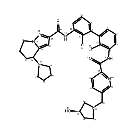 O=C(Nc1cccc(-c2cccc(NC(=O)c3cc4n(n3)CCCC4N3CCCC3)c2Cl)c1Cl)c1ccc(CN2CC[C@@H](O)C2)cn1